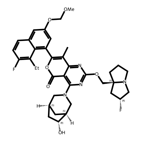 CCc1c(F)ccc2cc(OCOC)cc(-c3oc(=O)c4c(N5C[C@H]6C[C@@H](C5)[C@H](O)C6)nc(OC[C@@]56CCCN5C[C@H](F)C6)nc4c3C)c12